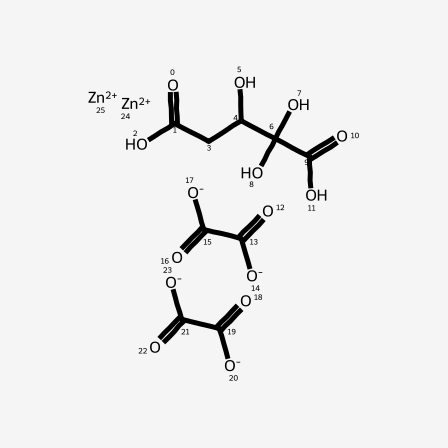 O=C(O)CC(O)C(O)(O)C(=O)O.O=C([O-])C(=O)[O-].O=C([O-])C(=O)[O-].[Zn+2].[Zn+2]